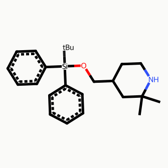 CC1(C)CC(CO[Si](c2ccccc2)(c2ccccc2)C(C)(C)C)CCN1